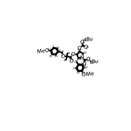 COc1ccc(COC(C)(C)C(=O)O[C@@H]2[C@@H](OC(=O)OC(C)(C)C)CN(C(=O)OC(C)(C)C)[C@@H]2Cc2ccc(OC)cc2)cc1